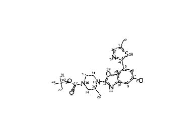 Cc1cnc(-c2cc(Cl)cc3nc(N4CCN(C(=O)OC(C)(C)C)CC4C)oc23)s1